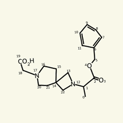 CC(C(=O)OCc1ccccc1)N1CC2(CCN(CC(=O)O)CC2)C1